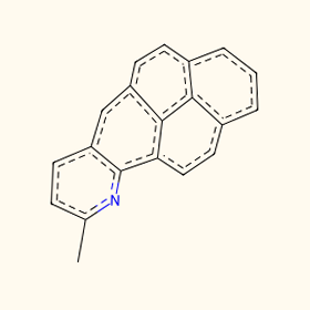 Cc1ccc2cc3ccc4cccc5ccc(c2n1)c3c45